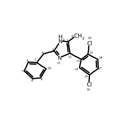 Cc1[nH]c(Cc2ccccc2)nc1-c1cc(Cl)ccc1Cl